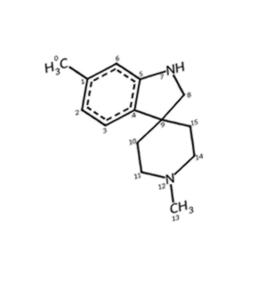 Cc1ccc2c(c1)NCC21CCN(C)CC1